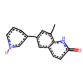 Cc1cc(-c2ccc[n+]([O-])c2)cc2ccc(=O)[nH]c12